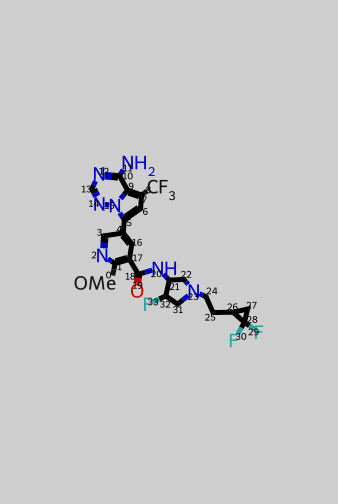 COc1ncc(-c2cc(C(F)(F)F)c3c(N)ncnn23)cc1C(=O)NC1CN(CCC2CC2(F)F)CC1F